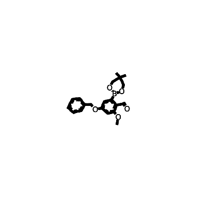 COc1cc(OCc2ccccc2)cc(B2OCC(C)(C)CO2)c1C=O